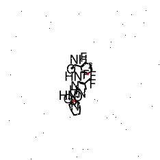 NC(=O)c1c(F)cccc1Nc1nc(NC2CC3CCC(C2)N3[SH](=O)=O)ncc1C(F)(F)F